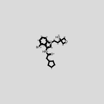 O=C(CC1CCCC1)Nc1cn(CCC2(O)COC2)c2cccc(Br)c12